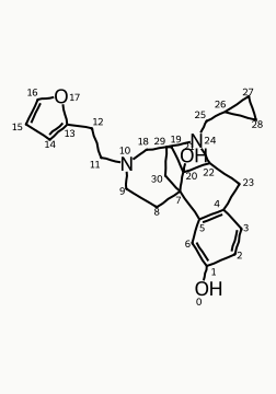 Oc1ccc2c(c1)C13CCN(CCc4ccco4)CCC1(O)C(C2)N(CC1CC1)CC3